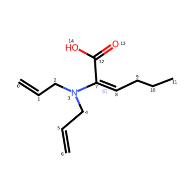 C=CCN(CC=C)/C(=C/CCC)C(=O)O